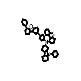 c1ccc(-c2cccc3c2oc2ccc(-c4ccc(N(c5ccc6c7ccccc7n(-c7ccccc7)c6c5)c5cccc6sc7ccccc7c56)cc4)cc23)cc1